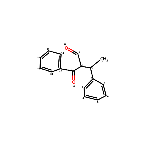 CC(c1ccccc1)C(C=O)C(=O)c1ccccc1